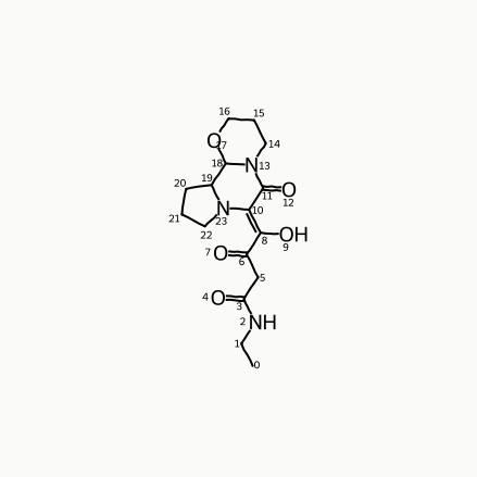 CCNC(=O)CC(=O)/C(O)=C1/C(=O)N2CCCOC2C2CCCN12